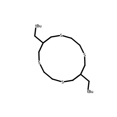 CC(C)(C)CC1CSCCSCC(CC(C)(C)C)CSCCSC1